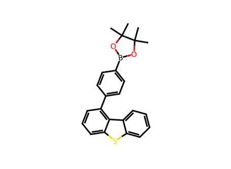 CC1(C)OB(c2ccc(-c3cccc4sc5ccccc5c34)cc2)OC1(C)C